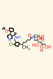 CC(CCCCC(=O)N(C)C[C@H](O)[C@@H](O)[C@H](O)[C@H](O)CO)c1ccc(Cl)c(CNC2(c3cnccc3-c3ccccc3OC3CC3)CC2)c1